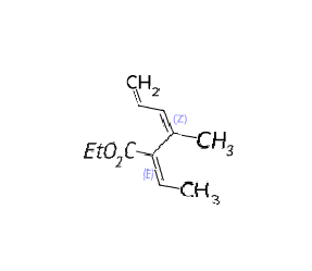 C=C/C=C(C)\C(=C/C)C(=O)OCC